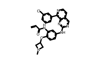 C=CC(=O)Nc1cc(Nc2ncc3ccnc(-c4cccc(Cl)c4)c3n2)ccc1OC1CN(C)C1